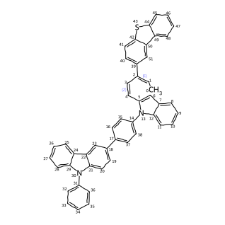 C/C=C(\C=C/c1cc2ccccc2n1-c1ccc(-c2ccc3c(c2)c2ccccc2n3-c2ccccc2)cc1)c1ccc2sc3ccccc3c2c1